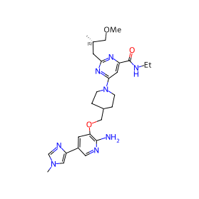 CCNC(=O)c1cc(N2CCC(COc3cc(-c4cn(C)cn4)cnc3N)CC2)nc(C[C@H](C)COC)n1